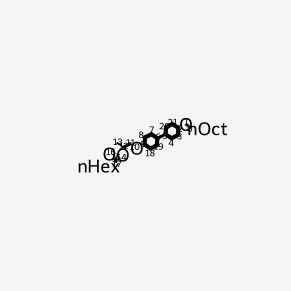 CCCCCCCCOc1ccc(-c2ccc(OC[C@H](C)OC(=O)CCCCCC)cc2)cc1